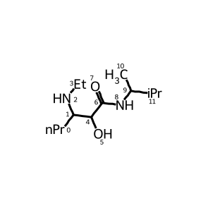 CCCC(NCC)C(O)C(=O)NC(C)C(C)C